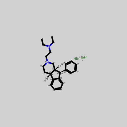 Br.Br.CCN(CC)CCN1CC[C@H]2c3ccccc3[C@H](c3ccccc3)[C@H]2C1